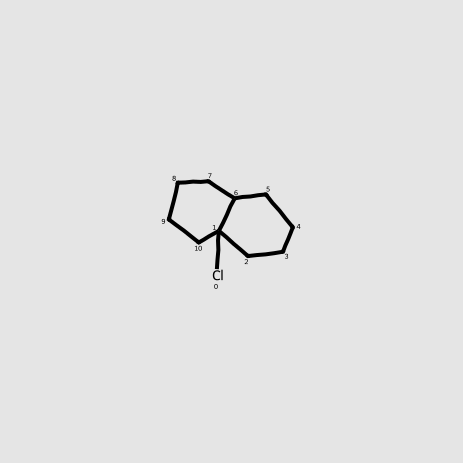 ClC12CCCCC1CCCC2